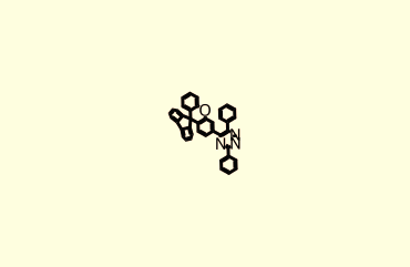 c1ccc(-c2nnc(-c3ccccc3)c(-c3ccc4c(c3)Oc3ccccc3C43c4ccccc4-c4ccccc43)n2)cc1